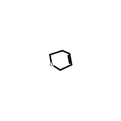 [C]1C=CCOC1